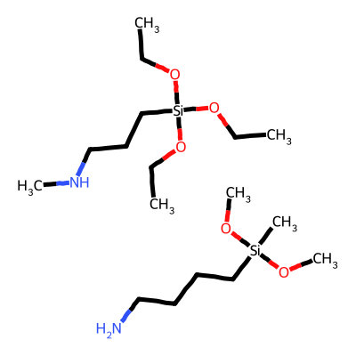 CCO[Si](CCCNC)(OCC)OCC.CO[Si](C)(CCCCN)OC